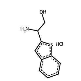 Cl.NC(CO)c1cc2ccccc2s1